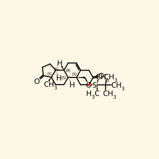 CC(C)(C)[Si](C)(C)OC[C@]12CCC(=O)CC1=CC[C@@H]1[C@@H]2CC[C@]2(C)C(=O)CC[C@@H]12